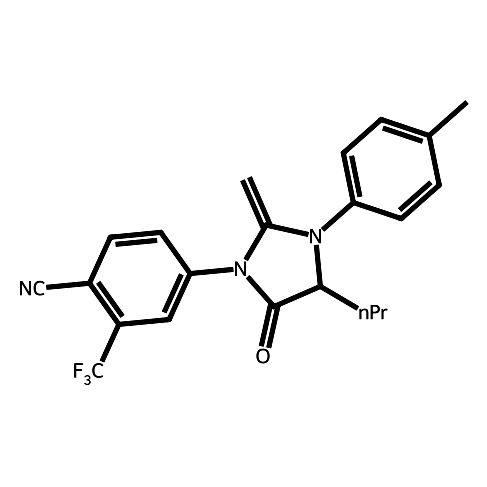 C=C1N(c2ccc(C#N)c(C(F)(F)F)c2)C(=O)C(CCC)N1c1ccc(C)cc1